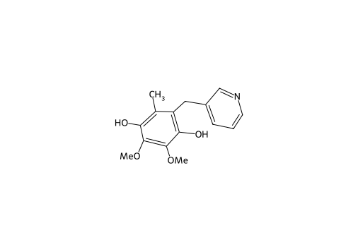 COc1c(O)c(C)c(Cc2cccnc2)c(O)c1OC